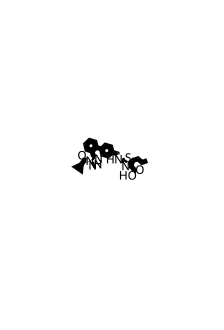 CCCc1sc(NCc2ccc(-c3ccccc3-c3nnnn3C(=O)C3CC3)cc2)nc1C(=O)O